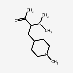 CC(=O)C(CC1CCN(C)CC1)N(C)C